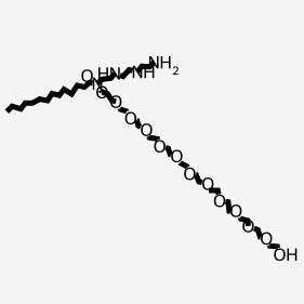 CCCCCCCCCCCCCC(=O)N(CCNCCNCCN)OCCOCCOCCOCCOCCOCCOCCOCCOCCOCCOCCOCCO